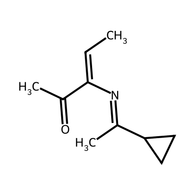 C/C=C(\N=C(/C)C1CC1)C(C)=O